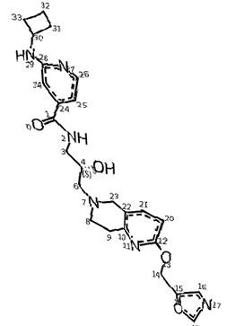 O=C(NC[C@H](O)CN1CCc2nc(OCc3cnco3)ccc2C1)c1ccnc(NC2CCC2)c1